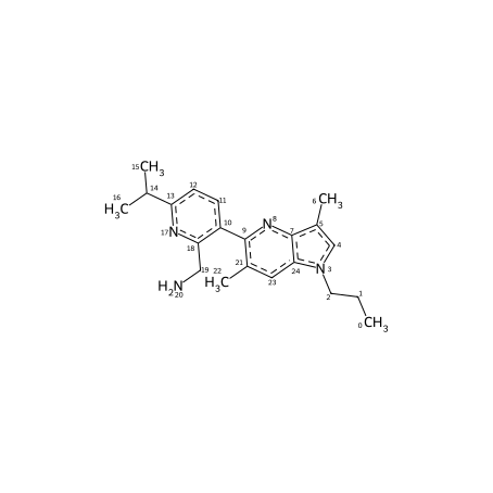 CCCn1cc(C)c2nc(-c3ccc(C(C)C)nc3CN)c(C)cc21